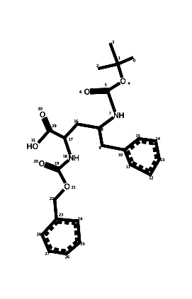 CC(C)(C)OC(=O)NC(Cc1ccccc1)CC(NC(=O)OCc1ccccc1)C(=O)O